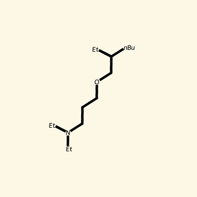 CCCCC(CC)COCCCN(CC)CC